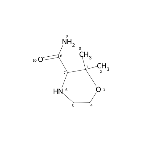 CC1(C)OCCNC1C(N)=O